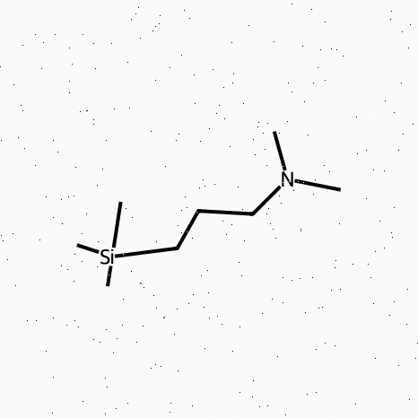 CN(C)CCC[Si](C)(C)C